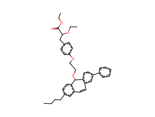 CCCCc1ccc2c(c1)C=Cc1cc(-c3ccccc3)ccc1C2OCCOc1ccc(CC(OCC)C(=O)OCC)cc1